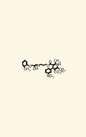 CC1=C(C(=O)O)C(c2cccc([N+](=O)[O-])c2)C(C(=O)OCCCNCC(O)COc2ccccc2C)=C(C)N1